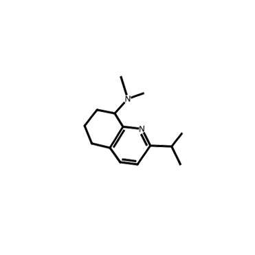 CC(C)c1ccc2c(n1)C(N(C)C)CCC2